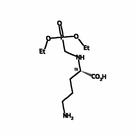 CCOP(=O)(CN[C@@H](CCCN)C(=O)O)OCC